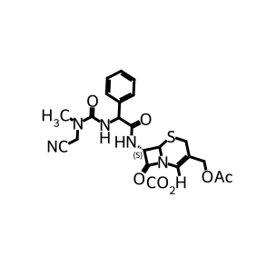 CC(=O)OCC1=C(C(=O)O)N2C(=O)[C@H](NC(=O)C(NC(=O)N(C)CC#N)c3ccccc3)C2SC1